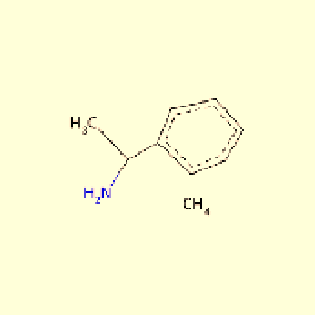 C.CC(N)c1ccccc1